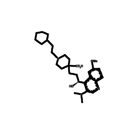 COc1ccc2ncc(N(C)C)c([C@H](O)CCC3(C(=O)O)CCN(CCC4CCCCC4)CC3)c2c1